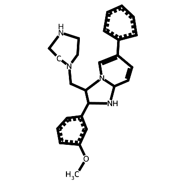 COc1cccc(C2NC3C=CC(c4ccccc4)=CN3C2CN2CCNCC2)c1